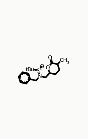 CC1CCC(CN(Cc2ccccc2)[S+]([O-])C(C)(C)C)OC1=O